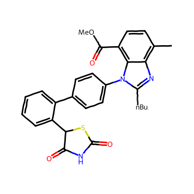 CCCCc1nc2c(C)ccc(C(=O)OC)c2n1-c1ccc(-c2ccccc2C2SC(=O)NC2=O)cc1